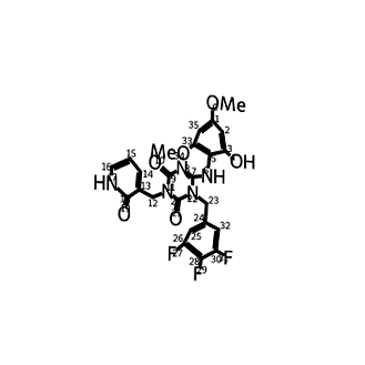 COc1cc(O)c(Nc2nc(=O)n(Cc3ccc[nH]c3=O)c(=O)n2Cc2cc(F)c(F)c(F)c2)c(OC)c1